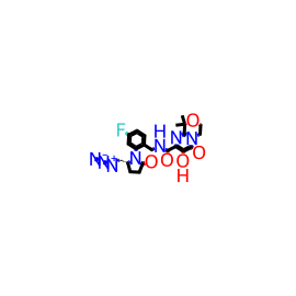 CC1(C)OCCn2c1nc(C(=O)NCc1ccc(F)cc1N1C(=O)CC[C@@H]1CN=[N+]=[N-])c(O)c2=O